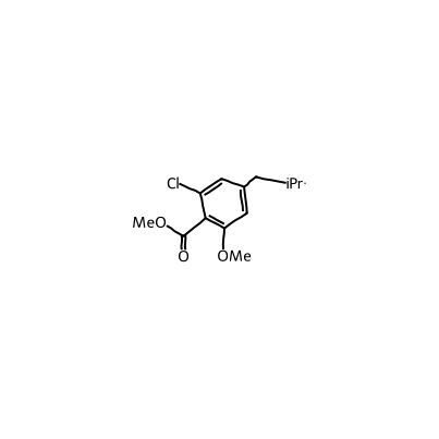 COC(=O)c1c(Cl)cc(C[C](C)C)cc1OC